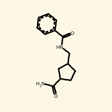 NC(=O)C1CCC(CNC(=O)c2ccccc2)C1